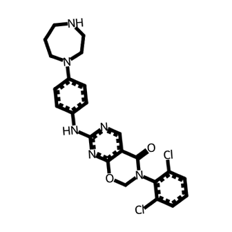 O=C1c2cnc(Nc3ccc(N4CCCNCC4)cc3)nc2OCN1c1c(Cl)cccc1Cl